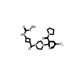 CC(C)(C)OC(=O)NC1CC(C(=O)N2CCN(c3ncc(C(F)(F)F)cc3C(=O)N3CCCC3)CC2)C1